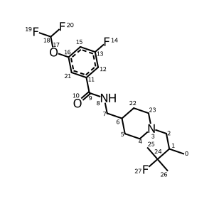 CC(CN1CCC(CNC(=O)c2cc(F)cc(OC(F)F)c2)CC1)C(C)(C)F